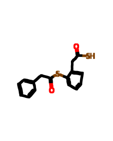 O=C(S)Cc1ccccc1SC(=O)Cc1ccccc1